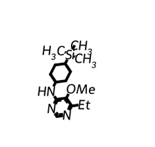 CCc1ncnc(NC2CCC([Si](C)(C)C)CC2)c1OC